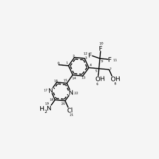 Cc1ccc(C(O)(CO)C(F)(F)F)cc1-c1cnc(N)c(Cl)n1